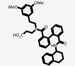 COc1cc(CCN(CCC(=O)O)C(=O)c2ccccc2-c2ccccc2C(=O)NC2CCCc3ccccc32)cc(OC)c1